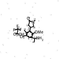 COc1c(C(C)N)cc(Cl)c(C)c1C1CC(=O)N(C)C1.O=C(O)C(F)(F)F